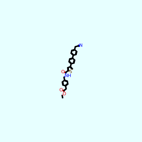 CCOC(=O)Cc1ccc(CNC(=O)c2cc(-c3ccc(-c4ccc(CC#N)cc4)cc3)cs2)cc1